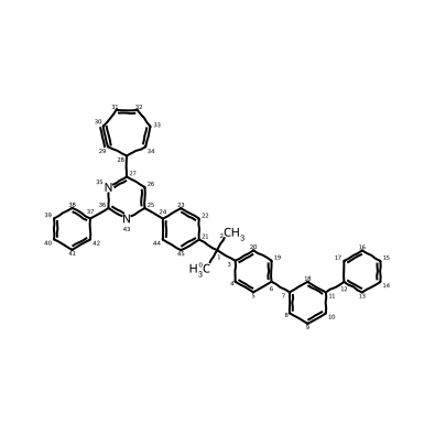 CC(C)(c1ccc(-c2cccc(-c3ccccc3)c2)cc1)c1ccc(-c2cc(C3C#CC=CC=C3)nc(-c3ccccc3)n2)cc1